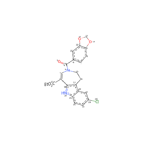 CCOC(=O)C1=CN(C(=O)c2ccc3c(c2)OCO3)CCc2c1[nH]c1ccc(Cl)cc21